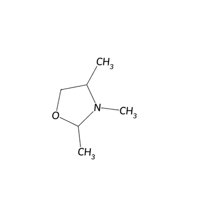 CC1COC(C)N1C